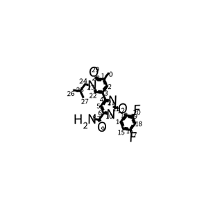 Cc1cc(-c2cc(C(N)=O)nc(Oc3ccc(F)cc3F)n2)cn(CC(C)C)c1=O